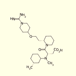 C[C@@H]1CCCC(N(C)[C@@H](CC(=O)O)C(=O)N2CCCC[C@H]2CCOC2CCN(C(=N)N)CC2)C1